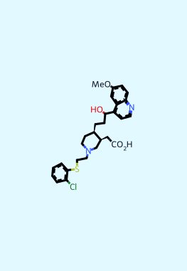 COc1ccc2nccc(C(O)CC[C@@H]3CCN(CCSc4ccccc4Cl)C[C@@H]3CC(=O)O)c2c1